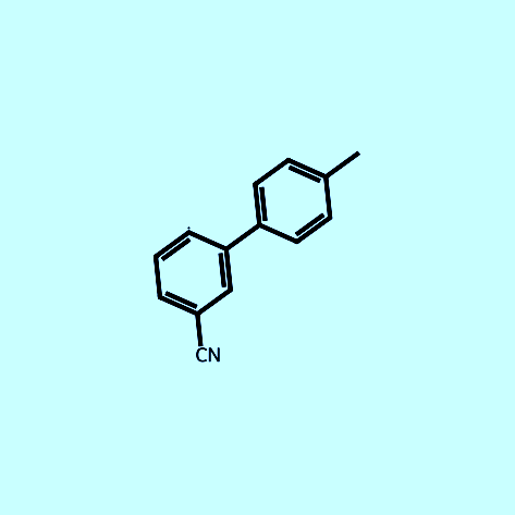 Cc1ccc(-c2[c]ccc(C#N)c2)cc1